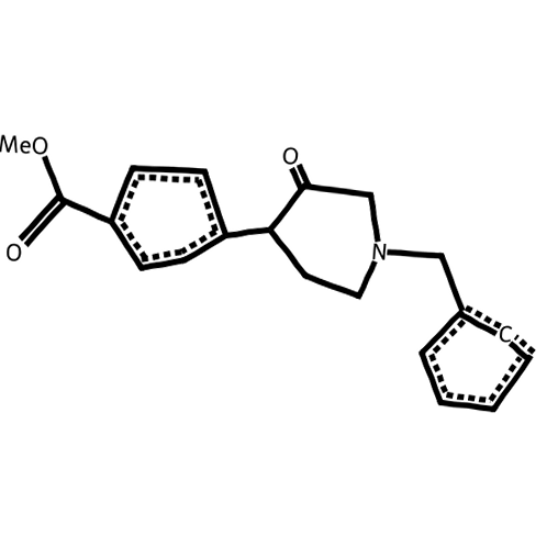 COC(=O)c1ccc(C2CCN(Cc3ccccc3)CC2=O)cc1